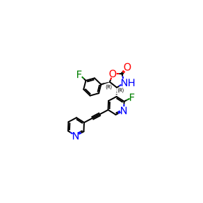 O=C1N[C@H](c2cc(C#Cc3cccnc3)cnc2F)[C@@H](c2cccc(F)c2)O1